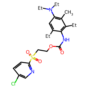 CCc1cc(N(CC)CC)c(C)c(CC)c1NC(=O)OCCS(=O)(=O)c1ccc(Cl)cn1